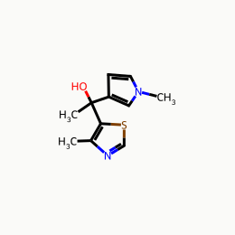 Cc1ncsc1C(C)(O)c1ccn(C)c1